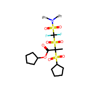 CC(C)N(C(C)C)S(=O)(=O)C(F)(F)S(=O)(=O)C(C)(C(=O)OC1CCCC1)S(=O)(=O)C1CCCC1